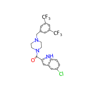 O=C(c1cc2cc(Cl)ccc2[nH]1)N1CCN(Cc2cc(C(F)(F)F)cc(C(F)(F)F)c2)CC1